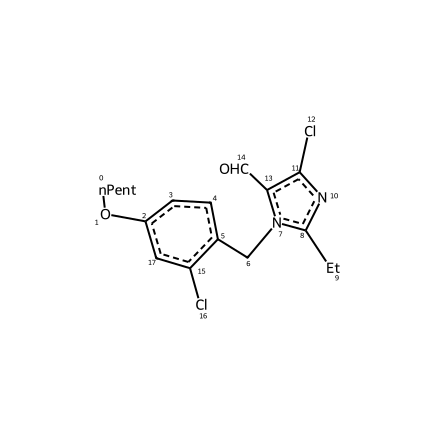 CCCCCOc1ccc(Cn2c(CC)nc(Cl)c2C=O)c(Cl)c1